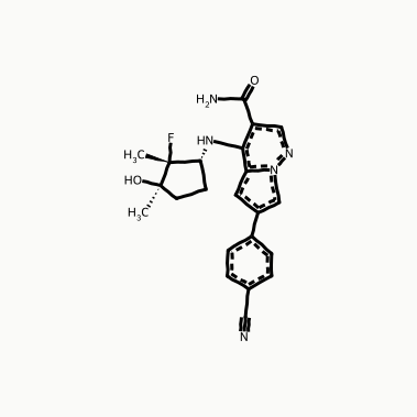 C[C@@]1(O)CC[C@@H](Nc2c(C(N)=O)cnn3cc(-c4ccc(C#N)cc4)cc23)[C@@]1(C)F